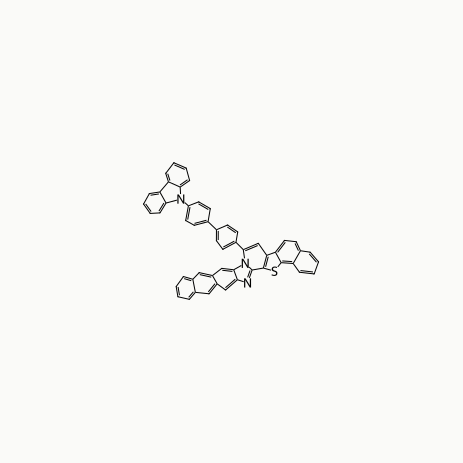 c1ccc2cc3cc4c(cc3cc2c1)nc1c2sc3c5ccccc5ccc3c2cc(-c2ccc(-c3ccc(-n5c6ccccc6c6ccccc65)cc3)cc2)n41